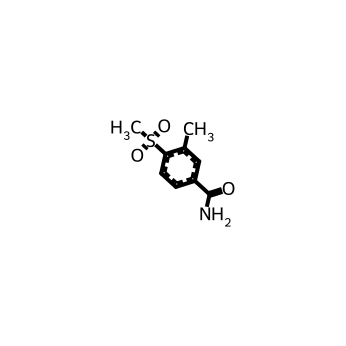 Cc1cc(C(N)=O)ccc1S(C)(=O)=O